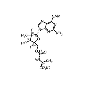 CCOC(=O)[C@H](C)N[PH](=O)OC[C@@]1(F)O[C@@H](n2cnc3c(NC)nc(N)nc32)[C@](C)(F)[C@@H]1O